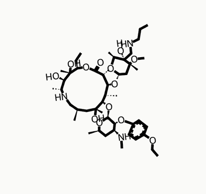 CCCNC[C@]1(O)[C@H](C)O[C@@H](O[C@H]2[C@H](C)[C@@H](O[C@@H]3O[C@H](C)C[C@H](NC)[C@H]3Oc3ccc(OCC)cc3)[C@](C)(O)C[C@@H](C)CN[C@H](C)[C@@H](O)[C@](C)(O)[C@@H](CC)OC(=O)[C@@H]2C)C[C@@]1(C)OC